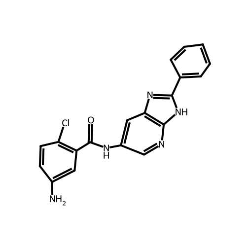 Nc1ccc(Cl)c(C(=O)Nc2cnc3[nH]c(-c4ccccc4)nc3c2)c1